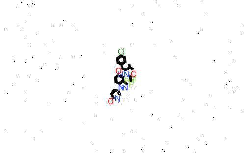 CC(C)C(NC(=O)C(F)(F)F)[C@H](Oc1ccc2c(cnn2-c2ccc(=O)n(C)c2)c1)c1ccc(Cl)cc1